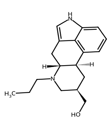 CCCN1C[C@H](CO)C[C@@H]2c3cccc4[nH]cc(c34)C[C@H]21